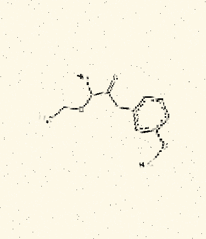 CCOC(O)C(=O)Cc1cccc(OC)c1